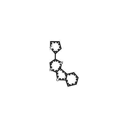 c1csc(-c2cnc3oc4ccccc4c3n2)c1